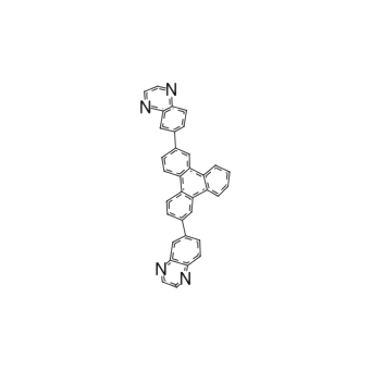 c1ccc2c(c1)c1cc(-c3ccc4nccnc4c3)ccc1c1ccc(-c3ccc4nccnc4c3)cc21